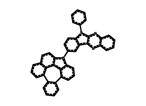 c1ccc(-n2c3ccc(-n4c5cccc6c5c5c7c(cccc7ccc54)-c4ccccc4-6)cc3c3nc4ccccc4nc32)cc1